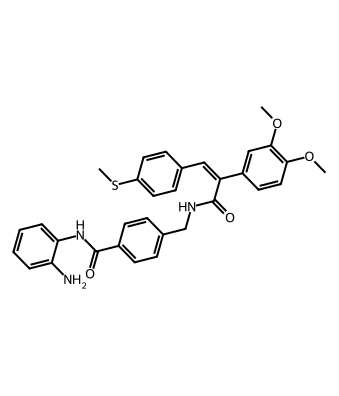 COc1ccc(C(=Cc2ccc(SC)cc2)C(=O)NCc2ccc(C(=O)Nc3ccccc3N)cc2)cc1OC